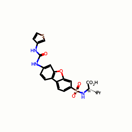 CC(C)[C@H](NS(=O)(=O)c1ccc2c(c1)oc1cc(NC(=O)Nc3ccsc3)ccc12)C(=O)O